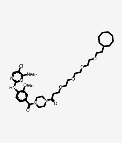 CNc1nc(Nc2ccc(C(=O)N3CCN(C(=O)CCOCCOCCOCCOCCC4CCCCCCC4)CC3)cc2OC)ncc1Cl